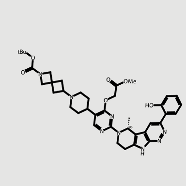 COC(=O)COc1nc(N2CCc3[nH]c4nnc(-c5ccccc5O)cc4c3[C@H]2C)ncc1C1CCN(C2CC3(C2)CN(C(=O)OC(C)(C)C)C3)CC1